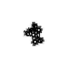 CN(c1ccco1)c1ccc(C(Nc2ccco2)c2ccccc2)cc1C(Nc1ccco1)c1ccccc1